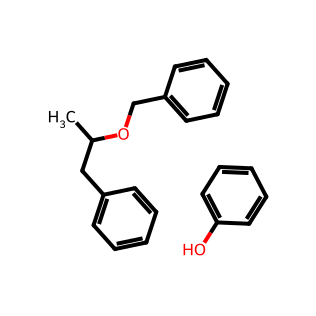 CC(Cc1ccccc1)OCc1ccccc1.Oc1ccccc1